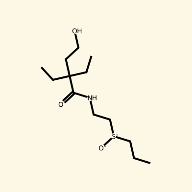 CCC[S+]([O-])CCNC(=O)C(CC)(CC)CCO